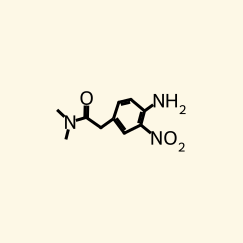 CN(C)C(=O)Cc1ccc(N)c([N+](=O)[O-])c1